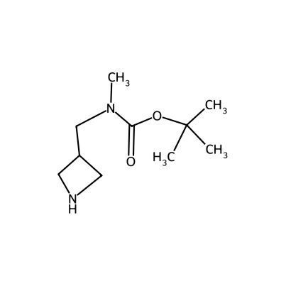 CN(CC1CNC1)C(=O)OC(C)(C)C